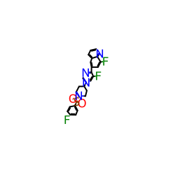 O=S(=O)(c1ccc(F)cc1)N1CCC(N2C=C(F)C(c3cc(F)c4ncccc4c3)=NC2)CC1